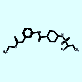 CCOC(=O)Cc1cccc(NC(=O)C2CCC(NS(=O)(=O)C(C)CC)CC2)c1